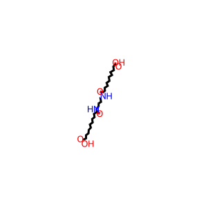 O=C(O)CCCCCCCCCCC(=O)NCCCCNC(=O)CCCCCCCCCCC(=O)O